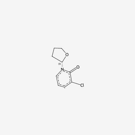 O=c1c(Cl)[c]ccn1[C@@H]1CCCO1